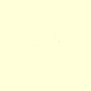 CCCn1c(COCC)nc2cnc3cc(OC4CCN(C(=O)OC(C)(C)C)CC4)ccc3c21